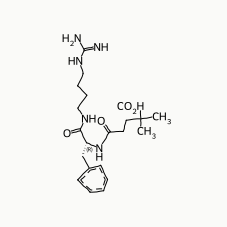 CC(C)(CCC(=O)N[C@H](Cc1ccccc1)C(=O)NCCCCNC(=N)N)C(=O)O